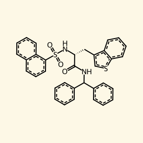 O=C(NC(c1ccccc1)c1ccccc1)[C@@H](Cc1csc2ccccc12)NS(=O)(=O)c1cccc2ccccc12